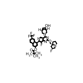 CC(C)(C)C(=O)Oc1cc(-c2ncc3c(N4C[C@@H]5C[C@H](C4)[C@H](O)C5)nc(OC[C@@]45CCCN4C[C@H](F)C5)nc3c2F)c2cc(C(F)(F)F)ccc2c1